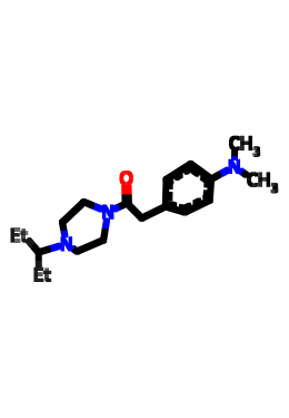 CCC(CC)N1CCN(C(=O)Cc2ccc(N(C)C)cc2)CC1